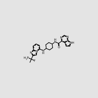 CC(F)(P)c1cn2c(NC3CCC(NC(=O)c4ncnc5[nH]ccc45)CC3)cccc2n1